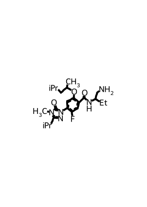 CCC(CN)NC(=O)c1cc(F)c(-n2nc(C(C)C)n(C)c2=O)cc1OC(C)CC(C)C